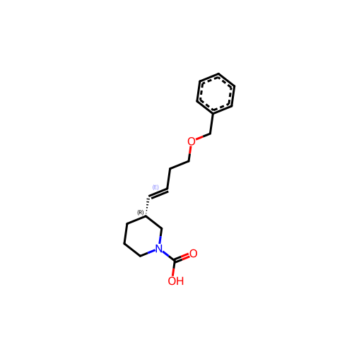 O=C(O)N1CCC[C@H](/C=C/CCOCc2ccccc2)C1